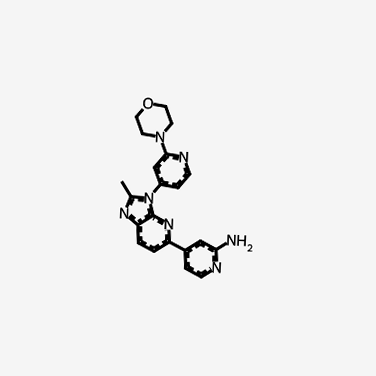 Cc1nc2ccc(-c3ccnc(N)c3)nc2n1-c1ccnc(N2CCOCC2)c1